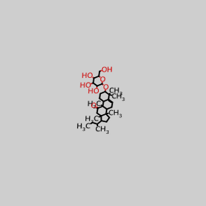 CCC(C)C1CCC2(C)C3CC=C4C(CCC(OC5OC(CO)C(O)C(O)C5O)C4(C)C)C3(C)C(=O)CC12C